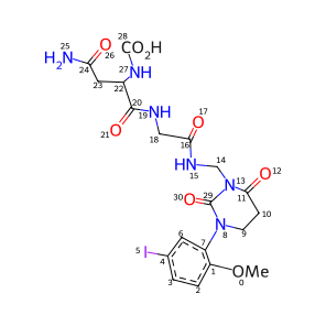 COc1ccc(I)cc1N1CCC(=O)N(CNC(=O)CNC(=O)C(CC(N)=O)NC(=O)O)C1=O